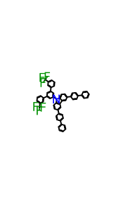 FC(F)(F)c1cccc(-c2cc(-c3cccc(C(F)(F)F)c3)cc(-n3c4ccc(-c5ccc(-c6ccccc6)cc5)cc4c4cc(-c5ccc(-c6ccccc6)cc5)ccc43)c2)c1